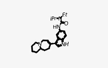 CCN(C(=O)Nc1ccc2[nH]cc(C3=CCN4CCCCC4CC3)c2c1)C(C)C